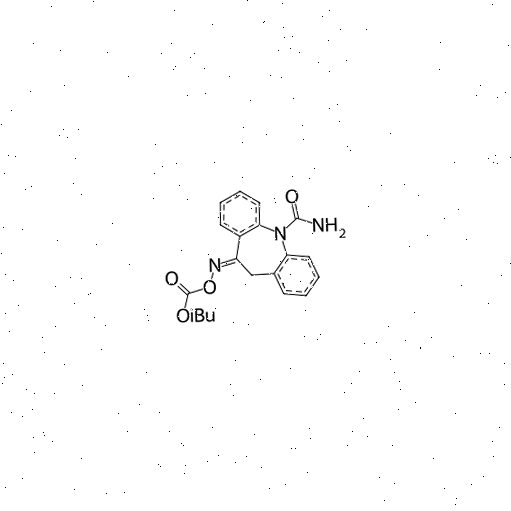 CC(C)COC(=O)O/N=C1\Cc2ccccc2N(C(N)=O)c2ccccc21